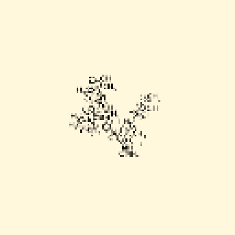 CC[C@H](C)[C@@H]([C@@H](CC(=O)N1CCC[C@H]1[C@H](OC)[C@@H](C)C(=O)N[C@H](C)[C@@H](O)c1ccccc1)OC)N(C)C(=O)[C@@H](NC(=O)[C@H](C(C)C)N(C)C(=O)OCc1ccc(NC(=O)[C@H](CCCNC(N)=O)NC(=O)[C@@H](NC(=O)[C@@H](N)CCC(=O)NC2O[C@H](C(=O)OC)[C@@H](O)[C@H]2O)C(C)C)cc1)C(C)C